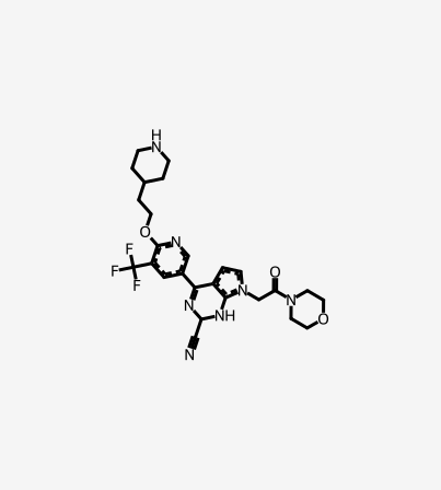 N#CC1N=C(c2cnc(OCCC3CCNCC3)c(C(F)(F)F)c2)c2ccn(CC(=O)N3CCOCC3)c2N1